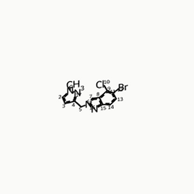 Cn1ccc(Cn2cc3c(Cl)c(Br)ccc3n2)n1